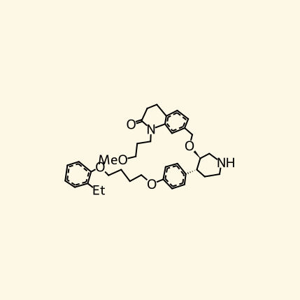 CCc1ccccc1OCCCCOc1ccc([C@H]2CCNC[C@@H]2OCc2ccc3c(c2)N(CCCOC)C(=O)CC3)cc1